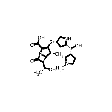 C[C@H]1C(S[C@@H]2CN[C@H](C(O)[C@@H]3CCN(C)C3)C2)=C(C(=O)O)N2C(=O)[C@H]([C@@H](C)O)C12